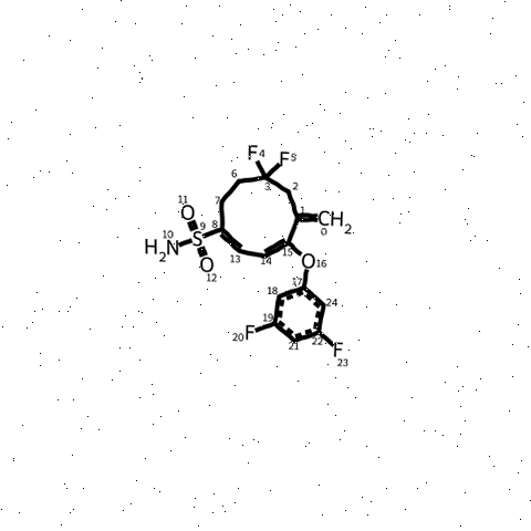 C=C1CC(F)(F)CC/C(S(N)(=O)=O)=C\C=C/1Oc1cc(F)cc(F)c1